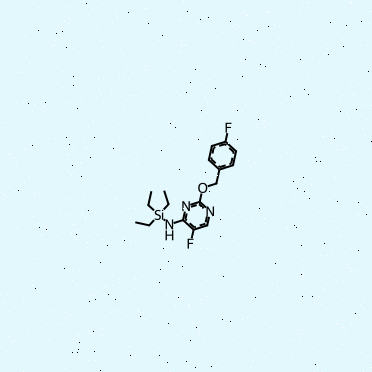 CC[Si](CC)(CC)Nc1nc(OCc2ccc(F)cc2)ncc1F